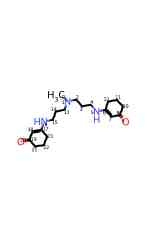 CN(CCCNC1=CC(=O)CCC1)CCCNC1=CC(=O)CCC1